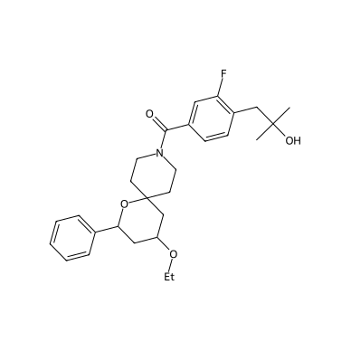 CCOC1CC(c2ccccc2)OC2(CCN(C(=O)c3ccc(CC(C)(C)O)c(F)c3)CC2)C1